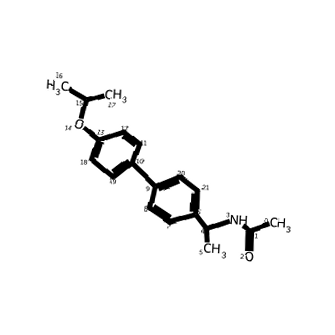 CC(=O)NC(C)c1ccc(-c2ccc(OC(C)C)cc2)cc1